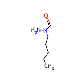 CCCCCN(N)C=O